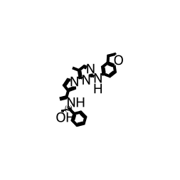 C=C(N[C@H](CO)c1ccccc1)c1ccn(-c2nc(Nc3ccc4c(c3)CCO4)ncc2C)c1